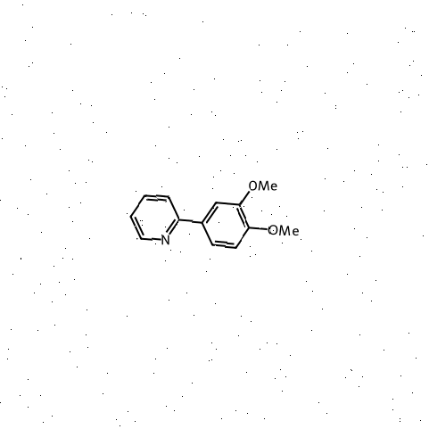 COc1ccc(-c2ccc[c]n2)cc1OC